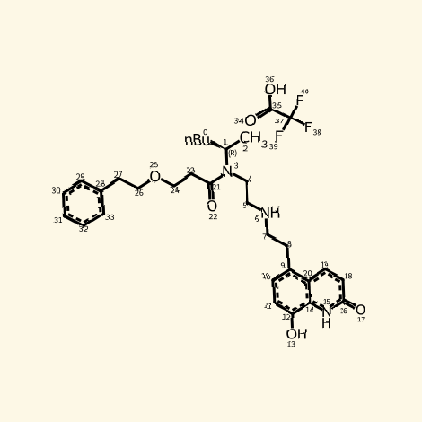 CCCC[C@@H](C)N(CCNCCc1ccc(O)c2[nH]c(=O)ccc12)C(=O)CCOCCc1ccccc1.O=C(O)C(F)(F)F